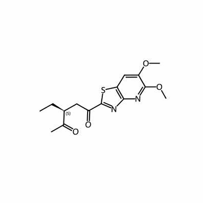 CC[C@@H](CC(=O)c1nc2nc(OC)c(OC)cc2s1)C(C)=O